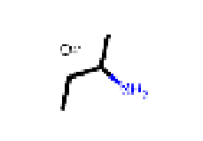 CCC(C)N.[Cu]